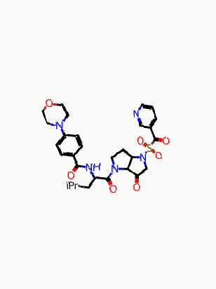 CC(C)CC(NC(=O)c1ccc(N2CCOCC2)cc1)C(=O)N1CCC2C1C(=O)CN2S(=O)(=O)C(=O)c1cccnc1